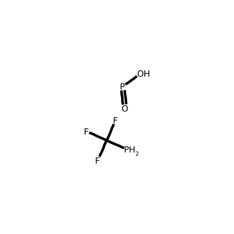 FC(F)(F)P.O=PO